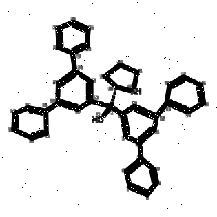 OC(c1cc(-c2ccccc2)cc(-c2ccccc2)c1)(c1cc(-c2ccccc2)cc(-c2ccccc2)c1)[C@@H]1CCCN1